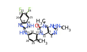 CNc1ncc2c(n1)N(C)C(=O)N(c1cc(Nc3nc4cc(F)c(F)cc4[nH]3)ccc1C)C2